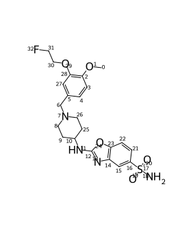 COc1ccc(CN2CCC(Nc3nc4cc(S(N)(=O)=O)ccc4o3)CC2)cc1OCCF